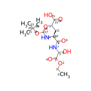 CCOC(=O)C(O)NC(=O)[C@H](CCC(=O)O)NC(=O)OC(C)(C)C